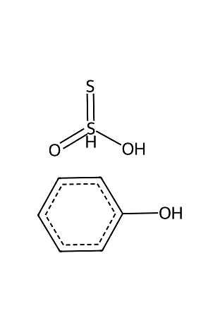 O=[SH](O)=S.Oc1ccccc1